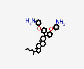 CCCCC(C)C1CCC2C3CCC4CC(c5cccc(Oc6cccc(N)c6)c5)(c5cccc(Oc6cccc(N)c6)c5)CCC4(C)C3CCC12C